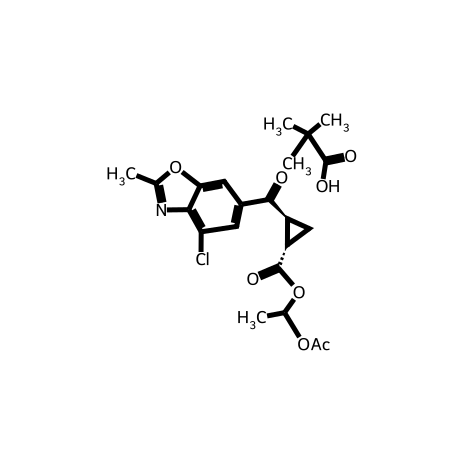 CC(=O)OC(C)OC(=O)[C@H]1C[C@@H]1C(=O)c1cc(Cl)c2nc(C)oc2c1.CC(C)(C)C(=O)O